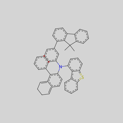 CC1(C)c2ccccc2-c2cccc(-c3cccc(N(c4ccc5c(c4-c4ccccc4)=CCCC=5)c4cccc5sc6ccccc6c45)c3)c21